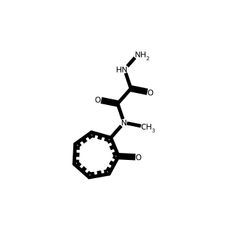 CN(C(=O)C(=O)NN)c1cccccc1=O